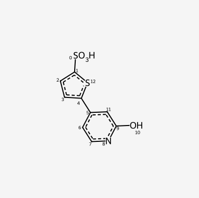 O=S(=O)(O)c1ccc(-c2ccnc(O)c2)s1